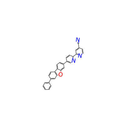 N#Cc1ccnc(-c2ccc(-c3ccc4c(c3)oc3cc(-c5ccccc5)ccc34)cn2)c1